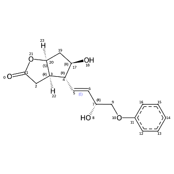 O=C1C[C@@H]2[C@@H](/C=C/[C@@H](O)COc3ccccc3)[C@H](O)C[C@@H]2O1